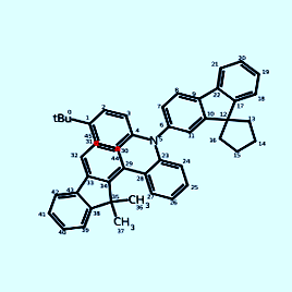 CC(C)(C)c1ccc(N(c2ccc3c(c2)C2(CCCC2)c2ccccc2-3)c2ccccc2-c2cccc3c2C(C)(C)c2ccccc2-3)cc1